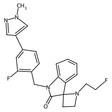 Cn1cc(-c2ccc(CN3C(=O)C4(CCN4CCF)c4ccccc43)c(F)c2)cn1